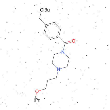 CC(C)COCc1ccc(C(=O)N2CCN(CCCOC(C)C)CC2)cc1